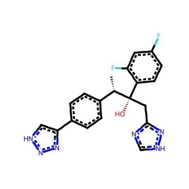 C[C@@H](c1ccc(-c2c[nH]nn2)cc1)[C@](O)(Cc1nc[nH]n1)c1ccc(F)cc1F